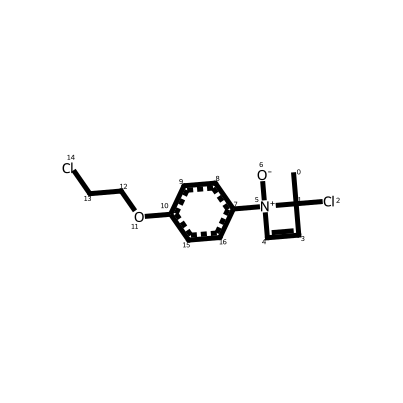 CC1(Cl)C=C[N+]1([O-])c1ccc(OCCCl)cc1